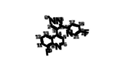 Cn1cc(-c2ccnc3c(F)cccc23)c(-c2ccc(F)cn2)n1